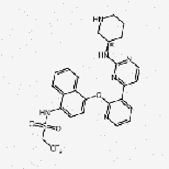 O=S(=O)(CC(F)(F)F)Nc1ccc(Oc2ncccc2-c2ccnc(N[C@@H]3CCCNC3)n2)c2ccccc12